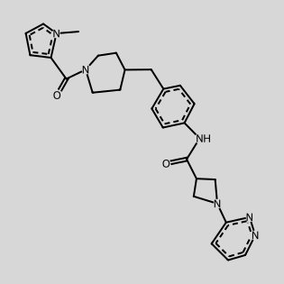 Cn1cccc1C(=O)N1CCC(Cc2ccc(NC(=O)C3CN(c4cccnn4)C3)cc2)CC1